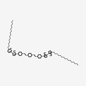 CCCCCCCCCCCCCCCCc1ccc(-c2ccc(-c3ccc(/C=C/c4ccc(/C=C/c5ccc(-c6ccc(-c7ccc(CCCCCCCCCCCCCCCC)s7)s6)cc5)cc4)cc3)s2)s1